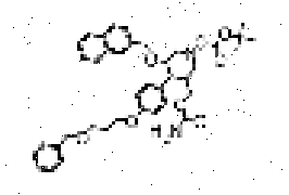 CC(C)(C)OC(=O)ON1CC(COC(N)=O)C(c2ccc(OCCCOCc3ccccc3)cc2)C(OCc2ccc3ccccc3c2)C1